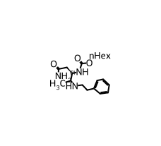 CCCCCCOC(=O)N[C@H](CC(N)=O)C(C)NCCc1ccccc1